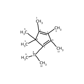 CC1=C(C)C(C)(C)[C]([Ti]([CH3])[CH3])=C1C